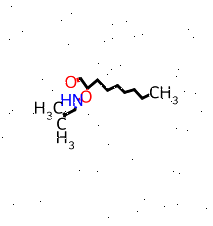 CCCCCCCC(C=O)ONCC(C)C